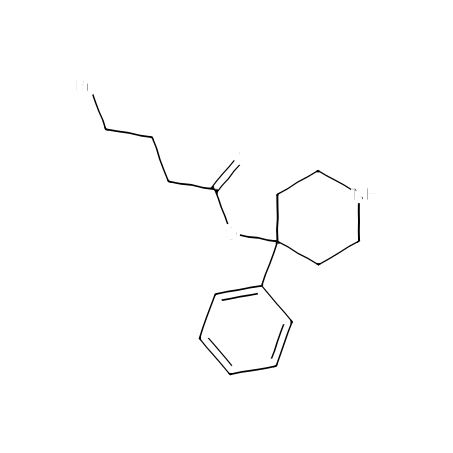 O=C(CCCBr)OC1(c2ccccc2)CCNCC1